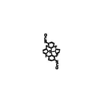 O=C=Nc1ccc(F)[c]([Ti]([c]2c(F)ccc(N=C=O)c2F)([CH]2C=CC=C2)[CH]2C=CC=C2)c1F